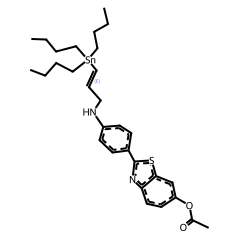 CCC[CH2][Sn](/[CH]=C/CNc1ccc(-c2nc3ccc(OC(C)=O)cc3s2)cc1)([CH2]CCC)[CH2]CCC